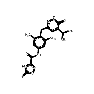 Cc1cc(NC(=O)c2noc(=O)[nH]2)cc(C)c1Cc1cc(C(C)C)c(=O)[nH]n1